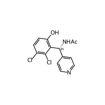 CC(=O)N[C@H](c1ccncc1)c1c(O)ccc(Cl)c1Cl